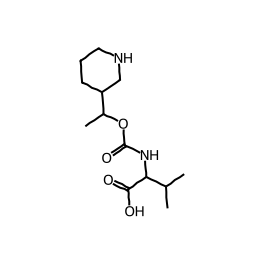 CC(C)C(NC(=O)OC(C)C1CCCNC1)C(=O)O